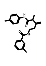 C=C(CCNC(=O)c1cccc(C)c1)C(C)C(=O)Nc1ccc(C)cc1